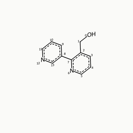 OCc1cccnc1-c1cccnc1